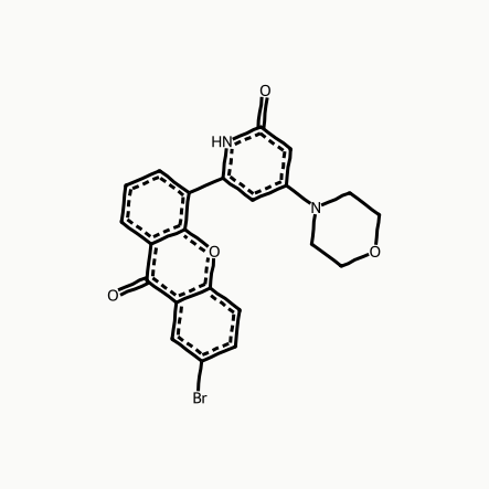 O=c1cc(N2CCOCC2)cc(-c2cccc3c(=O)c4cc(Br)ccc4oc23)[nH]1